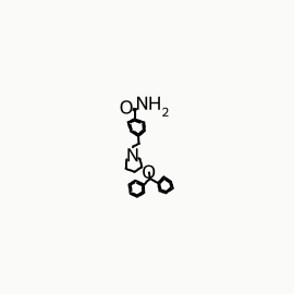 NC(=O)c1ccc(CCN2CCCC(OC(c3ccccc3)c3ccccc3)C2)cc1